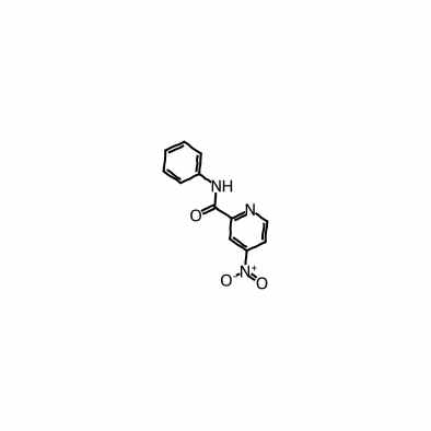 O=C(Nc1ccccc1)c1cc([N+](=O)[O-])ccn1